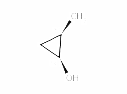 C[C@@H]1C[C@@H]1O